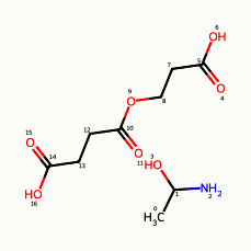 CC(N)O.O=C(O)CCOC(=O)CCC(=O)O